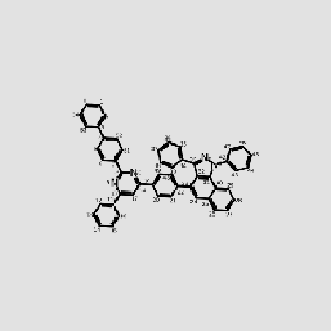 c1ccc(-c2ccc(-c3nc(-c4ccccc4)cc(-c4ccc(-c5cc6ccccc6c6c5c(-c5ccccc5)nn6-c5ccccc5)cc4)n3)cc2)cc1